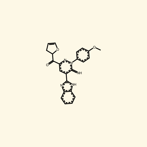 COc1ccc(-n2nc(C(=O)C3CC=CO3)cc(-c3nc4ccccc4[nH]3)c2=N)cc1